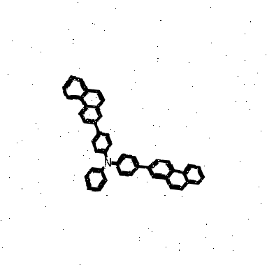 c1ccc(N(c2ccc(-c3ccc4c(ccc5ccccc54)c3)cc2)c2ccc(-c3ccc4c(ccc5ccccc54)c3)cc2)cc1